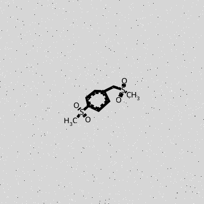 CS(=O)(=O)Cc1ccc(S(C)(=O)=O)cc1